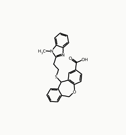 Cn1c(CCSC2c3ccccc3COc3ccc(C(=O)O)cc32)nc2ccccc21